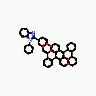 CC1C=CC(c2ccccc2-c2c3ccccc3c(-c3ccccc3-c3ccccc3)c3ccc(-c4ccc(-c5nc6ccccc6n5-c5ccccc5)cc4)cc23)=CC1